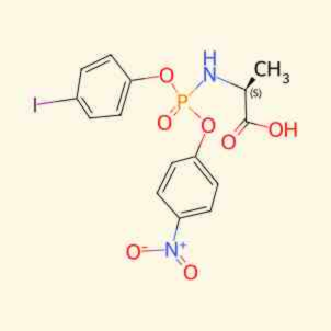 C[C@H](NP(=O)(Oc1ccc(I)cc1)Oc1ccc([N+](=O)[O-])cc1)C(=O)O